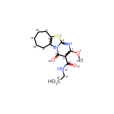 CCOc1nc2sc3c(n2c(=O)c1C(=O)NCC(=O)O)CCCCC3